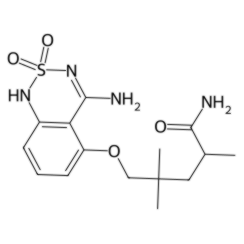 CC(CC(C)(C)COc1cccc2c1C(N)=NS(=O)(=O)N2)C(N)=O